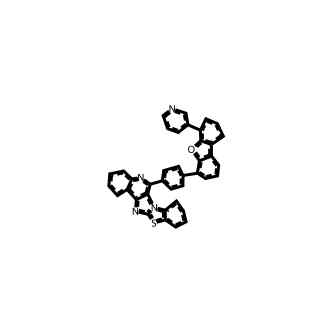 c1cncc(-c2cccc3c2oc2c(-c4ccc(-c5nc6ccccc6c6nc7sc8ccccc8n7c56)cc4)cccc23)c1